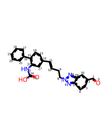 O=Cc1ccc2nn(CCC=Cc3ccc(-c4ccccc4)c(NC(=O)O)c3)nc2c1